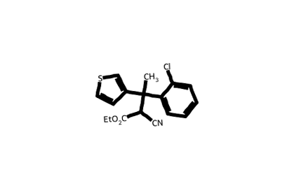 CCOC(=O)C(C#N)C(C)(c1ccsc1)c1ccccc1Cl